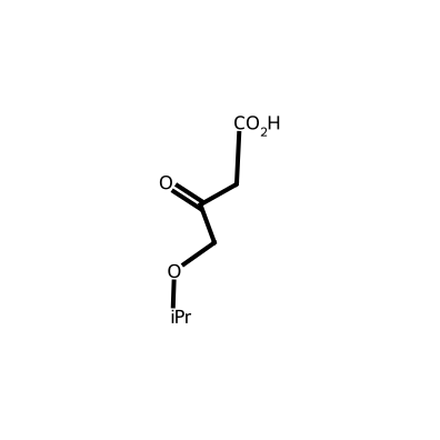 CC(C)OCC(=O)CC(=O)O